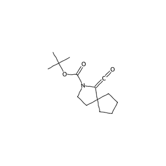 CC(C)(C)OC(=O)N1CCC2(CCCC2)C1=C=O